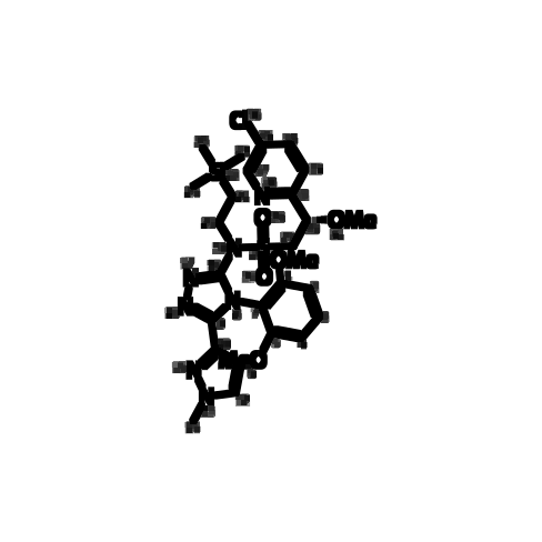 COc1cccc(OC)c1-n1c(-c2ccn(C)n2)nnc1N(CC[Si](C)(C)C)S(=O)(=O)C[C@@H](OC)c1ccc(Cl)cn1